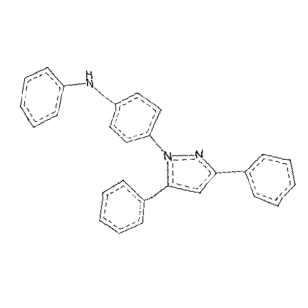 c1ccc(Nc2ccc(-n3nc(-c4ccccc4)cc3-c3ccccc3)cc2)cc1